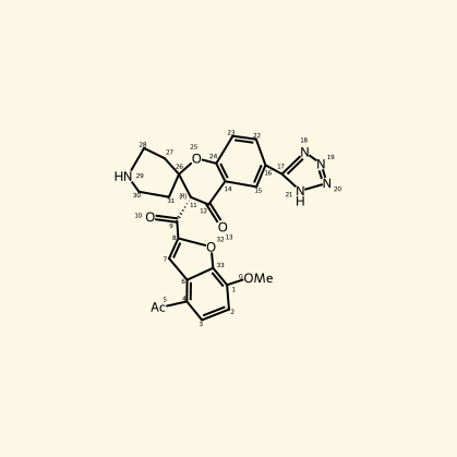 COc1ccc(C(C)=O)c2cc(C(=O)[C@H]3C(=O)c4cc(-c5nnn[nH]5)ccc4OC34CCNCC4)oc12